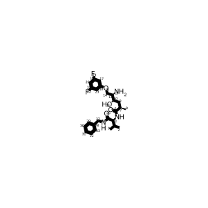 CC(C)[C@H](NC(=O)[C@H](C)C[C@H](O)[C@@H](N)COc1cc(F)cc(F)c1)C(=O)NCc1ccccc1